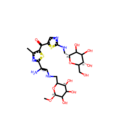 CO[C@H]1OC(CN/C=C(\N)c2nc(C)c(C(=O)c3cnc(NC[C@H]4OC(CO)[C@@H](O)C(O)C4O)s3)s2)[C@@H](O)C(O)C1O